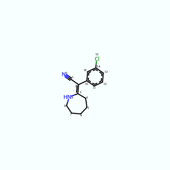 N#CC(=C1CCCCCN1)c1cccc(Cl)c1